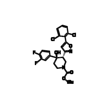 CC(C)(C)OC(=O)N1CC[C@](O)(c2ccc(F)c(F)c2)[C@H](c2cc(-c3c(Cl)cccc3Cl)on2)C1